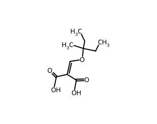 CCC(C)(CC)OC=C(C(=O)O)C(=O)O